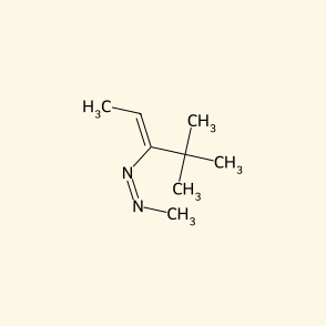 C/C=C(\N=N/C)C(C)(C)C